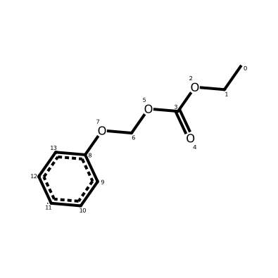 CCOC(=O)OCOc1cc[c]cc1